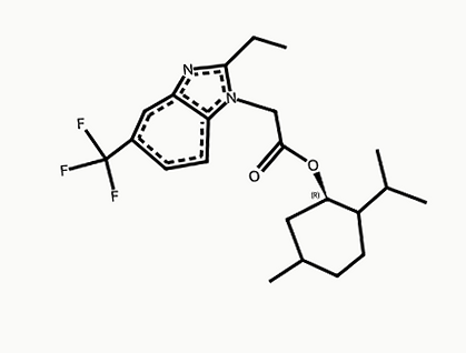 CCc1nc2cc(C(F)(F)F)ccc2n1CC(=O)O[C@@H]1CC(C)CCC1C(C)C